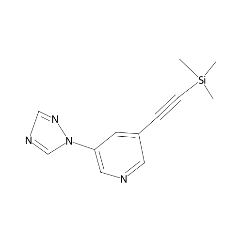 C[Si](C)(C)C#Cc1cncc(-n2cncn2)c1